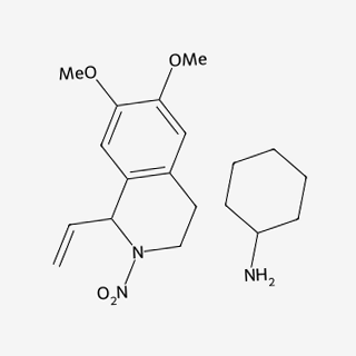 C=CC1c2cc(OC)c(OC)cc2CCN1[N+](=O)[O-].NC1CCCCC1